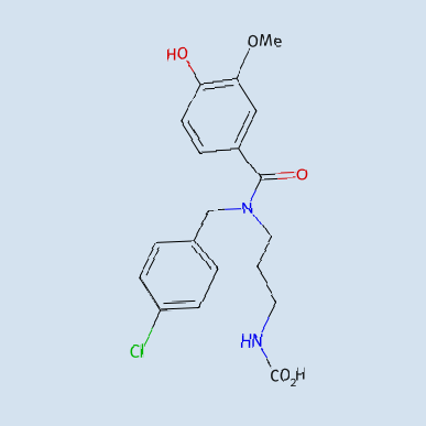 COc1cc(C(=O)N(CCCNC(=O)O)Cc2ccc(Cl)cc2)ccc1O